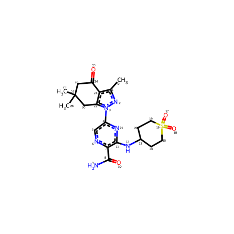 Cc1nn(-c2cnc(C(N)=O)c(NC3CCS(=O)(=O)CC3)n2)c2c1C(=O)CC(C)(C)C2